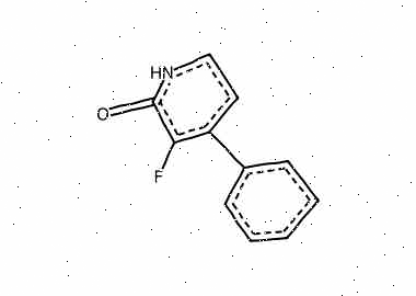 O=c1[nH]ccc(-c2ccccc2)c1F